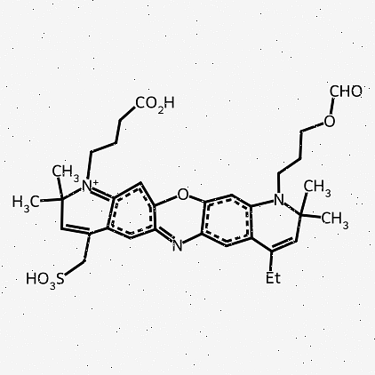 CCC1=CC(C)(C)N(CCCOC=O)c2cc3c(cc21)N=c1cc2c(cc1O3)=[N+](CCCC(=O)O)C(C)(C)C=C2CS(=O)(=O)O